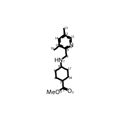 COC(=O)C1CCC(NCc2ncc(C)cc2C)CC1